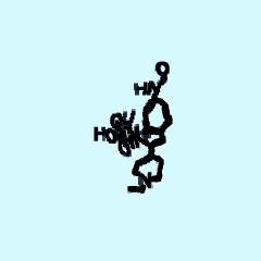 CCN1CC=C(c2cc3ccc(NC=O)cc3[nH]2)CC1.O=P(O)(O)O